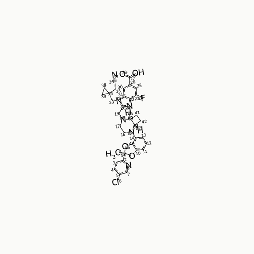 C[C@]1(c2ccc(Cl)cn2)Oc2cccc(N3CCN(Cc4nc5c(F)cc(C(=O)O)cc5n4CC4(CC#N)CC4)[C@H]4CC[C@@H]43)c2O1